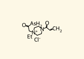 C=CC(=O)N1CC[N+](CC)(CC(=O)[AsH2])CC1.[Cl-]